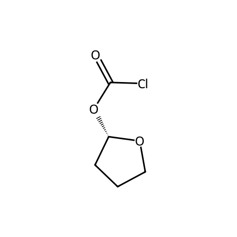 O=C(Cl)O[C@H]1CCCO1